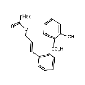 CCCCCCC(=O)OCC=Cc1ccccc1.O=C(O)c1ccccc1O